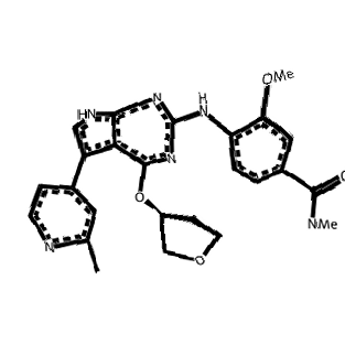 CNC(=O)c1ccc(Nc2nc(O[C@H]3CCOC3)c3c(-c4ccnc(C)c4)c[nH]c3n2)c(OC)c1